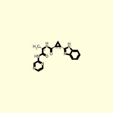 C[C@H](NC(=O)[C@H]1C[C@@H]1c1nc2ccccc2[nH]1)C(=O)Nc1cnccn1